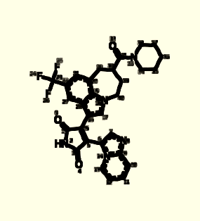 O=C1NC(=O)C(c2cnc3ccccn23)=C1c1cn2c3c(cc(C(F)(F)F)cc13)CC(C(=O)N1CCCCC1)CC2